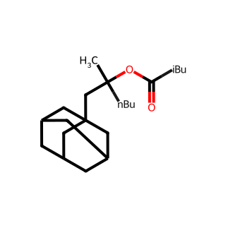 CCCCC(C)(CC12CC3CC(CC(C3)C1)C2)OC(=O)C(C)CC